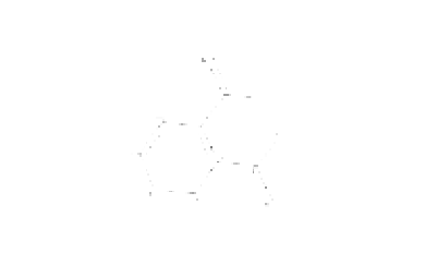 C=C(C)C1=C(C(C)O)CCC=C1